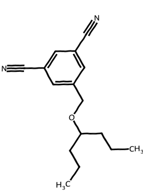 CCCC(CCC)OCc1cc(C#N)cc(C#N)c1